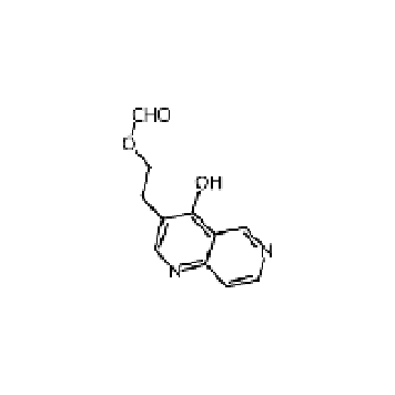 O=COCCc1cnc2ccncc2c1O